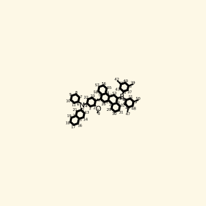 COc1cc(N(c2ccccc2)c2ccc3ccccc3c2)ccc1-c1cc2c3ccccc3c(B(c3cc(C)cc(C)c3)c3cc(C)cc(C)c3)cc2c2ccccc12